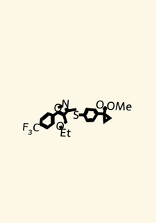 CCOCc1c(CSc2ccc(C3(C(=O)OC)CC3)cc2)noc1-c1ccc(C(F)(F)F)cc1